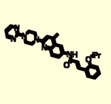 Cc1cc(N2CCN(c3ncccn3)CC2)nc2ccc(NC(=O)C=Cc3ccccc3OC(C)C)cc12